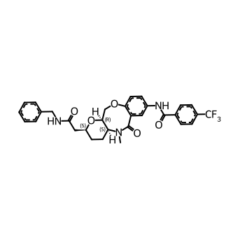 CN1C(=O)c2cc(NC(=O)c3ccc(C(F)(F)F)cc3)ccc2OC[C@@H]2O[C@H](CC(=O)NCc3ccccc3)CC[C@@H]21